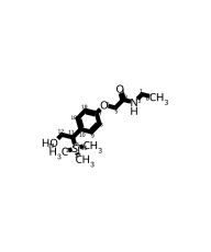 CCNC(=O)COc1ccc(C(CO)[Si](C)(C)C)cc1